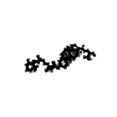 CC[C@H](CC[C@@H](C)[C@H]1CC[C@H]2[C@@H]3CC=C4C[C@H](OC(=O)C=C(C)C=CC=C(C)/C=C/C5=C(C)CCCC5(C)C)CC[C@]4(C)[C@H]3CC[C@]12C)C(C)C